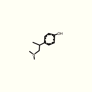 CC(CN(C)C)c1ccc(O)cc1